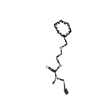 C#CCN(C)C(=O)OCCOCc1ccccc1